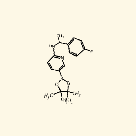 CC(Nc1ccc(B2OC(C)(C)C(C)(C)O2)cn1)c1ccc(F)cc1